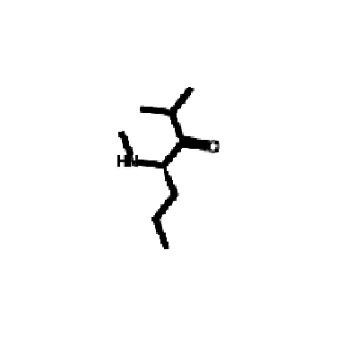 CCC[C@@H](NC)C(=O)C(C)C